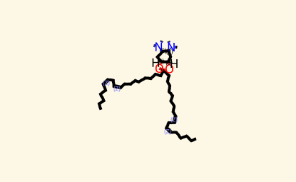 CCCCC/C=C\C/C=C\CCCCCCCCC1(CCCCCCCC/C=C\C/C=C\CCCCC)O[C@H]2C[C@@H](N(C)C)[C@@H](N(C)C)C[C@@H]2O1